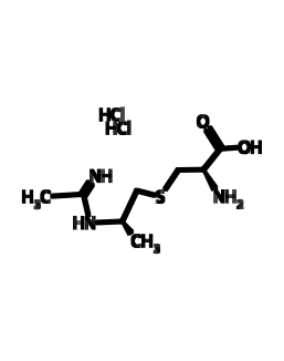 CC(=N)N[C@H](C)CSC[C@H](N)C(=O)O.Cl.Cl